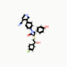 N#Cc1ccncc1-c1ccc(N2C(=O)[C@H](SC[C@H](O)c3ccc(F)cc3)[C@H]2c2ccc(O)cc2)cc1